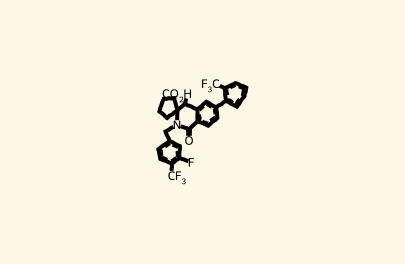 O=C(O)C1c2cc(-c3ccccc3C(F)(F)F)ccc2C(=O)N(Cc2ccc(C(F)(F)F)c(F)c2)C12CCCC2